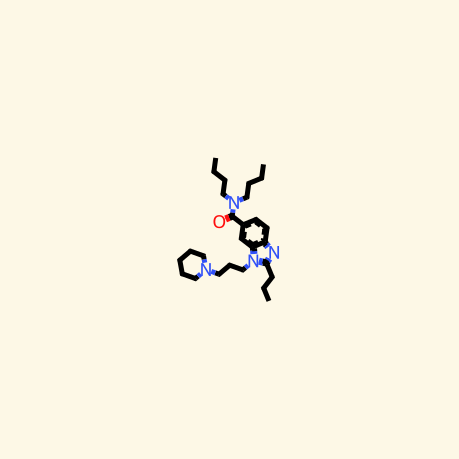 CCCCN(CCCC)C(=O)c1ccc2nc(CCC)n(CCCN3CCCCC3)c2c1